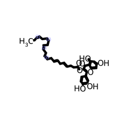 CC/C=C\C/C=C\C/C=C\C/C=C\CC=CCC=CCCC(=O)Oc1c(-c2ccc(O)c(O)c2)oc2cc(O)cc(O)c2c1=O